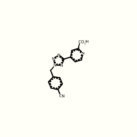 N#Cc1ccc(Cn2nnc(-c3ccnc(C(=O)O)c3)n2)cc1